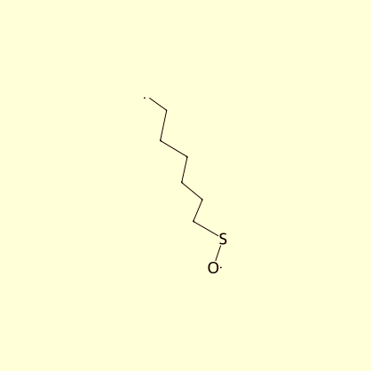 [CH2]CCCCCCS[O]